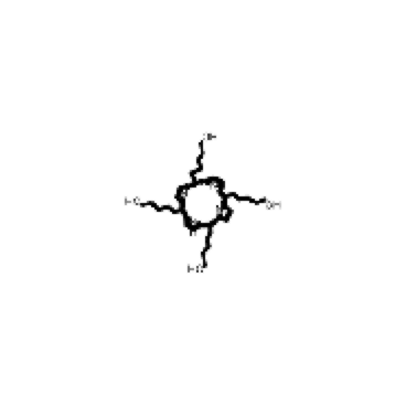 OCCCCCc1c2nc(c(CCCCCO)c3ccc([nH]3)c(CCCCCO)c3nc(c(CCCCCO)c4ccc1[nH]4)C=C3)C=C2